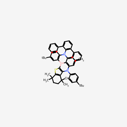 Cc1cc2c3c(c1)N(c1c(-c4ccccc4)cccc1-c1ccccc1)c1ccc(C(C)(C)C)cc1B3c1sc3c(c1N2c1ccc(C(C)(C)C)cc1)C(C)(C)CCC3(C)C